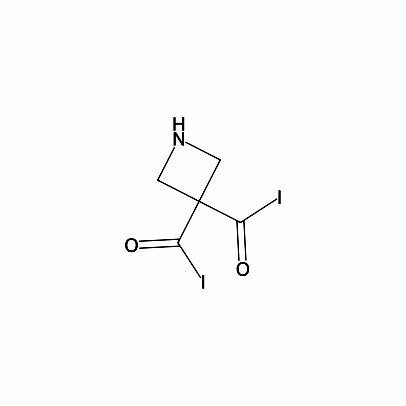 O=C(I)C1(C(=O)I)CNC1